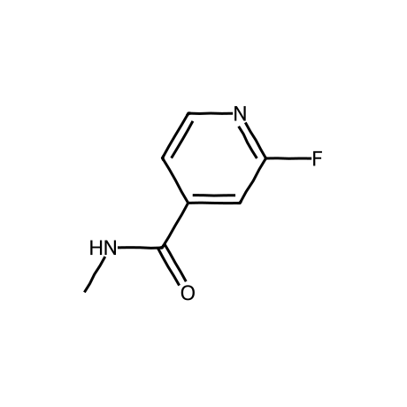 CNC(=O)c1ccnc(F)c1